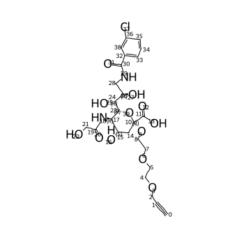 C#CCOCCOCCO[C@]1(C(=O)O)C[C@H](O)[C@@H](NC(=O)CO)[C@H]([C@H](O)[C@H](O)CNC(=O)c2cccc(Cl)c2)O1